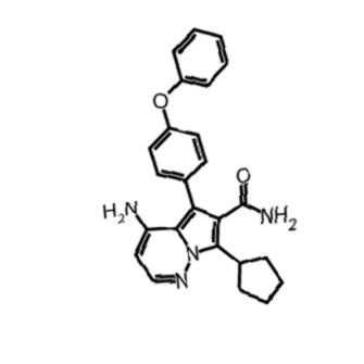 NC(=O)c1c(-c2ccc(Oc3ccccc3)cc2)c2c(N)ccnn2c1C1CCCC1